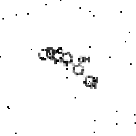 Oc1cc(-c2ccnnc2)ccc1-c1ccc(O[C@@H]2CC3CCCC(N3)[C@@H]2F)nn1